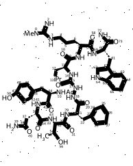 CNC(=N)NCCC[C@H](NC(=O)[C@H](CC(C)C)NC(=O)NNC(=O)[C@H](Cc1ccccc1)NC(=O)[C@@H](NC(=O)[C@H](CC(N)=O)NC(=O)[C@@H](Cc1ccc(O)cc1)NC(C)=O)[C@@H](C)O)C(=O)N[C@@H](Cc1c[nH]c2ccccc12)C(N)=O